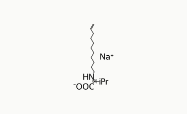 C=CCCCCCCCCCN[C@@H](C(=O)[O-])C(C)C.[Na+]